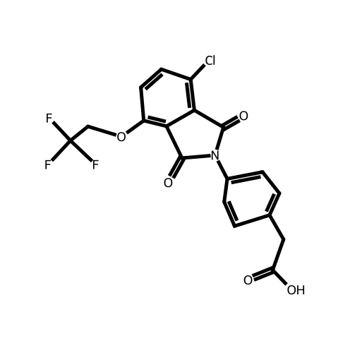 O=C(O)Cc1ccc(N2C(=O)c3c(Cl)ccc(OCC(F)(F)F)c3C2=O)cc1